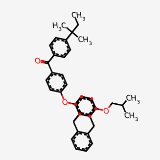 CCC(C)(C)c1ccc(C(=O)c2ccc(Oc3ccc(OCC(C)C)c4c3C3c5ccccc5C4c4ccccc43)cc2)cc1